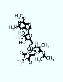 COc1nc(N)nc2c1ncn2C1OC(COP(=O)(N[C@H](C)C(=O)OC(C)C)SCC2C(=O)N(C)C(=O)N2C)[C@@H](O)[C@@]1(C)O